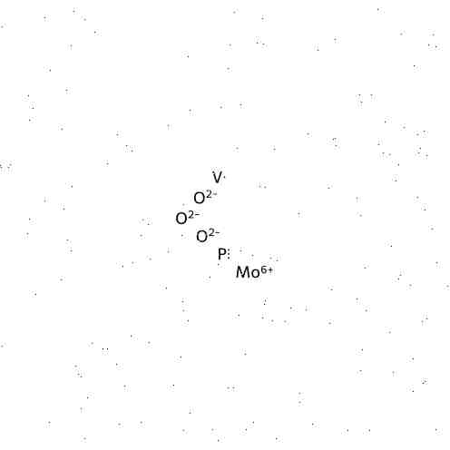 [Mo+6].[O-2].[O-2].[O-2].[P].[V]